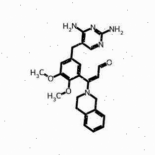 COc1cc(Cc2cnc(N)nc2N)cc(C(=CC=O)N2CCc3ccccc3C2)c1OC